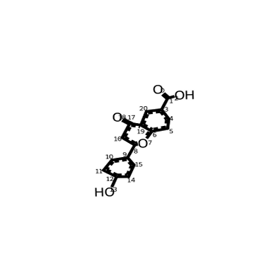 O=C(O)c1ccc2oc(-c3ccc(O)cc3)cc(=O)c2c1